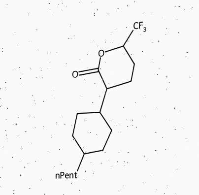 CCCCCC1CCC(C2CCC(C(F)(F)F)OC2=O)CC1